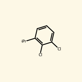 C[C](C)c1cccc(Cl)c1Cl